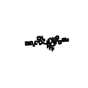 CCOC(=O)C1(C)CC(CN2CC[C@H]3[C@@H]2C(F)(F)CN3C(=O)OC(C)(C)C)C1